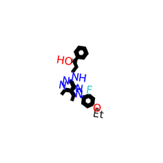 CCOc1ccc(-n2nc3c(NCC[C@@H](O)c4ccccc4)nnc(C)c3c2C)c(F)c1